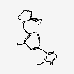 Cn1nccc1-c1ccc(CN2CCCC2=O)c(F)c1